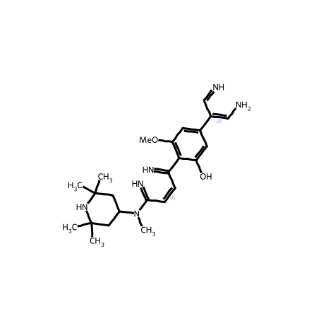 COc1cc(/C(C=N)=C/N)cc(O)c1C(=N)/C=C\C(=N)N(C)C1CC(C)(C)NC(C)(C)C1